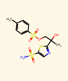 Cc1ccc(S(=O)(=O)OCC(C)(O)c2ncc(S(N)(=O)=O)s2)cc1